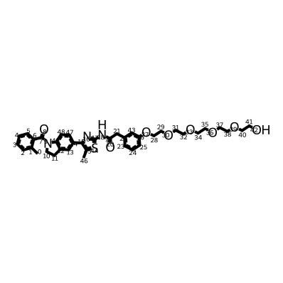 Cc1ccccc1C(=O)N1CCc2cc(-c3nc(NC(=O)Cc4cccc(OCCOCCOCCOCCOCCO)c4)sc3C)ccc21